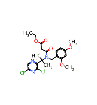 CCOC(=O)CC(=O)N(Cc1ccc(OC)cc1OC)C(C)(C)c1ncc(Cl)nc1Cl